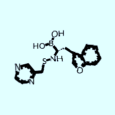 OB(O)[C@H](Cc1coc2ccccc12)NSCc1cnccn1